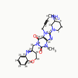 CC#CCn1c(N2CCCC(N)C2)nc2c1c(=O)n(CC1=Nc3ccccc3OCC1)c(=O)n2C